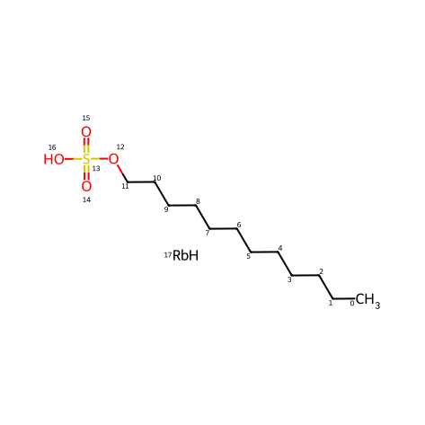 CCCCCCCCCCCCOS(=O)(=O)O.[RbH]